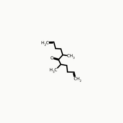 C=CCCC(C)C(=O)C(C)CCC=C